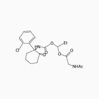 CCC(OC(=O)CNC(C)=O)OC(=O)N[C@]1(c2ccccc2Cl)CCCCC1=O